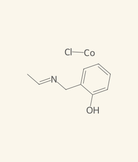 CC=NCc1ccccc1O.[Cl][Co]